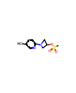 CS(=O)(=O)OC1CN(c2ccc(C#N)cn2)C1